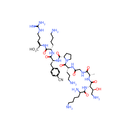 C[C@H](NC(=O)[C@@H](NC(=O)C(N)CCCCN)[C@@H](O)CN)C(=O)NCC(=O)N[C@H](CCCN)C(=O)N1CCC[C@H]1C(=O)N[C@@H](Cc1ccc(C#N)cc1)C(=O)N[C@@H](CCCCN)C(=O)N/C(=C\CCNC(=N)N)C(=O)O